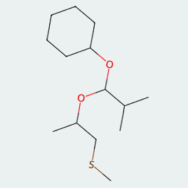 CSCC(C)OC(OC1CCCCC1)C(C)C